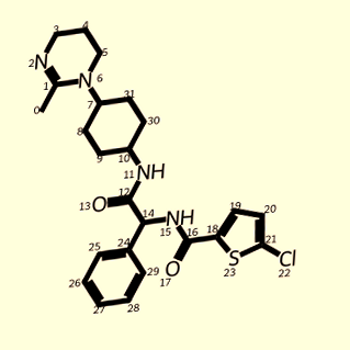 CC1=NCCCN1C1CCC(NC(=O)C(NC(=O)c2ccc(Cl)s2)c2ccccc2)CC1